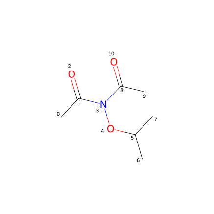 CC(=O)N(OC(C)C)C(C)=O